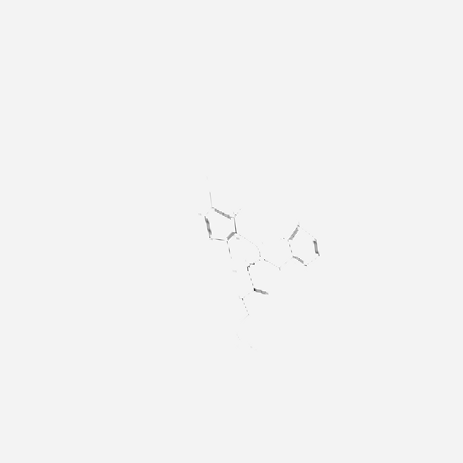 CC(C)(C)OCCC(=O)CN(Cc1ccccc1)Cc1c(C(=O)O)ccc(F)c1F